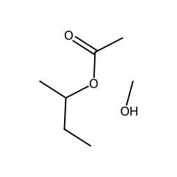 CCC(C)OC(C)=O.CO